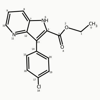 CCOC(=O)c1[nH]c2cccnc2c1-c1ccc(Cl)cc1